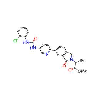 COC(=O)C(C(C)C)N1Cc2ccc(-c3ccc(NC(=O)Nc4ccccc4Cl)cn3)cc2C1=O